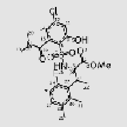 COC(=O)[C@@H](NS(=O)(=O)c1c(O)cc(Cl)cc1C(=O)N(C)C)C(C)c1c(F)ccc(C)c1C